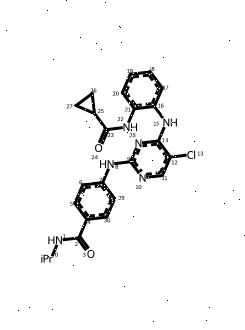 CC(C)NC(=O)c1ccc(Nc2ncc(Cl)c(Nc3ccccc3NC(=O)C3CC3)n2)cc1